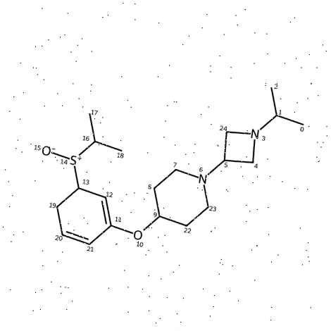 CC(C)N1CC(N2CCC(OC3=CC([S+]([O-])C(C)C)CC=C3)CC2)C1